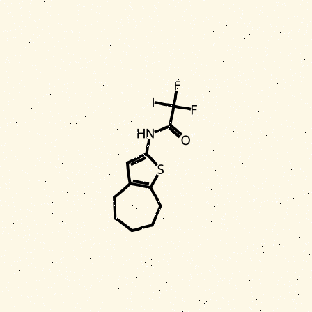 O=C(Nc1cc2c(s1)CCCCC2)C(F)(F)I